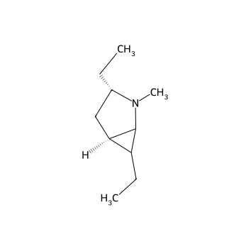 CCC1C2[C@@H]1C[C@H](CC)N2C